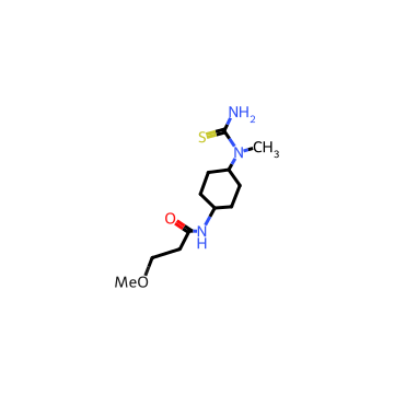 COCCC(=O)NC1CCC(N(C)C(N)=S)CC1